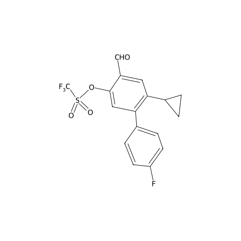 O=Cc1cc(C2CC2)c(-c2ccc(F)cc2)cc1OS(=O)(=O)C(F)(F)F